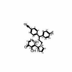 N#Cc1ccc(C(CCn2ccnc2-c2[nH]ncc(=O)c2O)c2ccc(F)cc2)cc1